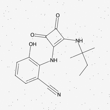 CCC(C)(C)Nc1c(Nc2c(O)cccc2C#N)c(=O)c1=O